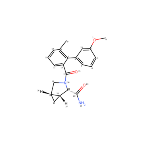 COc1cccc(-c2c(C)cccc2C(=O)N2C[C@H]3C[C@H]3[C@H]2C(N)=O)c1